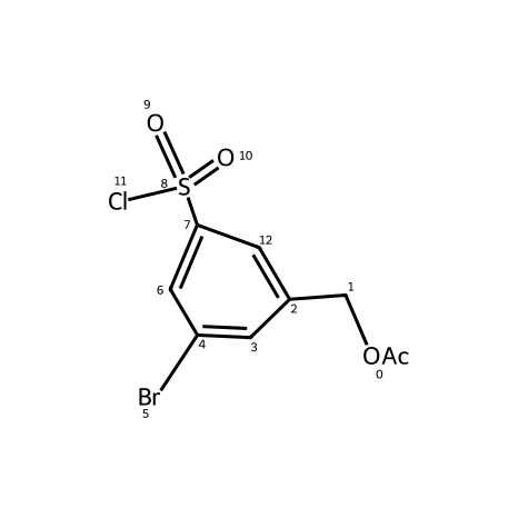 CC(=O)OCc1cc(Br)cc(S(=O)(=O)Cl)c1